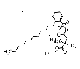 CCCCCCCCCCCCc1ccccc1S(=O)(=O)OC(CC(C)(C)C(=O)OCC)OC